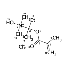 C=C(C)C(=O)OC(C)(CC)[N+](C)(C)O.[Cl-]